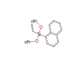 C=C[Si](OCCC)(OCCC)c1cccc2ccccc12